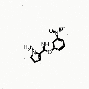 N=C(OC1C=CC=C([N+](=O)[O-])C1)C1=CCCN1N